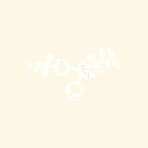 CC(C)S(=O)(=O)c1nc(-c2ccc(S(C)(=O)=O)cc2)c(-c2ccncc2)[nH]1